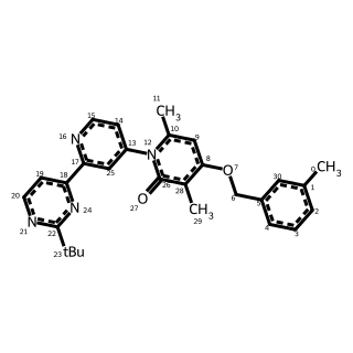 Cc1cccc(COc2cc(C)n(-c3ccnc(-c4ccnc(C(C)(C)C)n4)c3)c(=O)c2C)c1